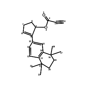 C#CC(=O)OC1CCC=C1c1ccc2c(c1)C(C)(C)CCC2(C)C